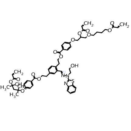 C=CC(=O)OCCCCOCC(COc1ccc(C(=O)OCCc2ccc(CCOC(=O)c3ccc(OC(C)(C)CC(C)(C)OC(=O)C=C)cc3)cc2/C=N/N(CCO)c2nc3ccccc3s2)cc1)OC(=O)C=C